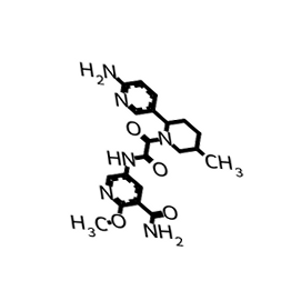 COc1ncc(NC(=O)C(=O)N2CC(C)CCC2c2ccc(N)nc2)cc1C(N)=O